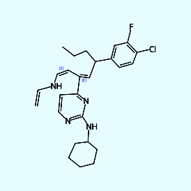 C=CN/C=C\C(=C/C(CCC)c1ccc(Cl)c(F)c1)c1ccnc(NC2CCCCC2)n1